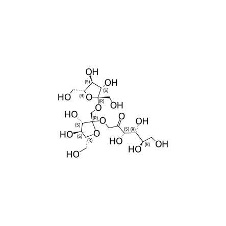 O=C(CO[C@]1(CO[C@]2(CO)O[C@H](CO)[C@@H](O)[C@@H]2O)O[C@H](CO)[C@@H](O)[C@@H]1O)[C@@H](O)[C@H](O)[C@H](O)CO